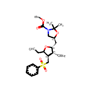 CO[C@H]1[C@@H](C[C@H]2CN(C(=O)OC(C)(C)C)C(C)(C)O2)OC(CC=O)[C@@H]1CS(=O)(=O)c1ccccc1